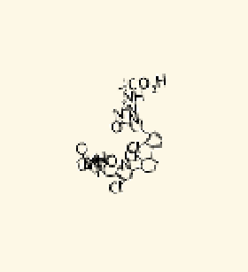 COc1nc(-c2cccc(-c3cccc(-c4cc5c(=O)n(C)c(CNC(C)(C)C(=O)O)nn5c4)c3Cl)c2Cl)cc(Cl)c1CNCC1CCC(=O)N1